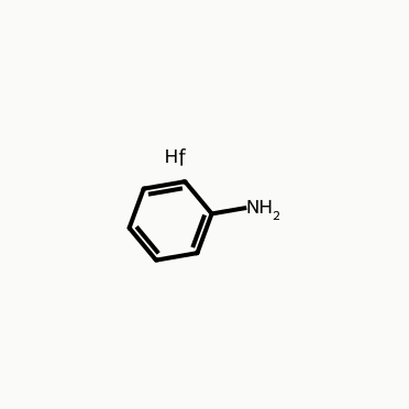 Nc1ccccc1.[Hf]